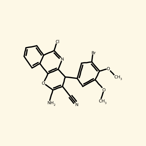 COc1cc(C2C(C#N)=C(N)Oc3c2nc(Cl)c2ccccc32)cc(Br)c1OC